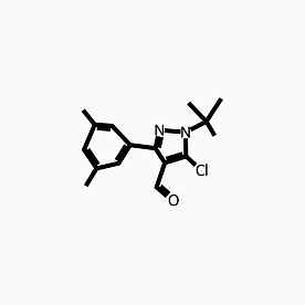 Cc1cc(C)cc(-c2nn(C(C)(C)C)c(Cl)c2C=O)c1